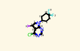 FC1(F)CCC(n2cc(I)c3c(Cl)ncnc32)CC1